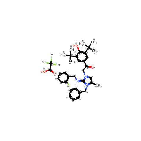 Cc1cn(CC(=O)c2cc(C(C)(C)C)c(O)c(C(C)(C)C)c2)/c(=N\Cc2ccccc2F)n1Cc1ccccc1.O=C(O)C(F)(F)F